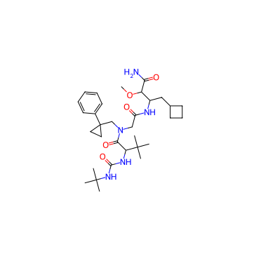 COC(C(N)=O)C(CC1CCC1)NC(=O)CN(CC1(c2ccccc2)CC1)C(=O)C(NC(=O)NC(C)(C)C)C(C)(C)C